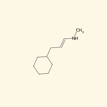 CNC=CCC1CCCCC1